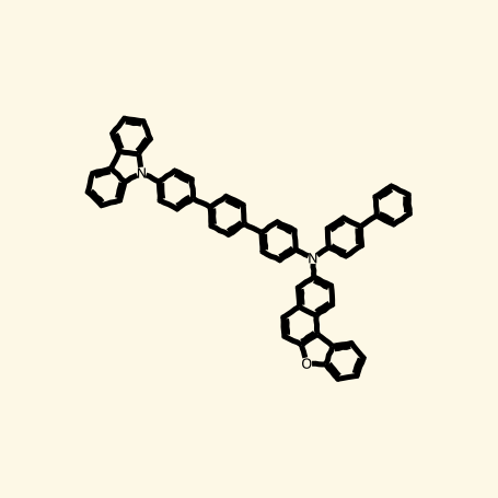 c1ccc(-c2ccc(N(c3ccc(-c4ccc(-c5ccc(-n6c7ccccc7c7ccccc76)cc5)cc4)cc3)c3ccc4c(ccc5oc6ccccc6c54)c3)cc2)cc1